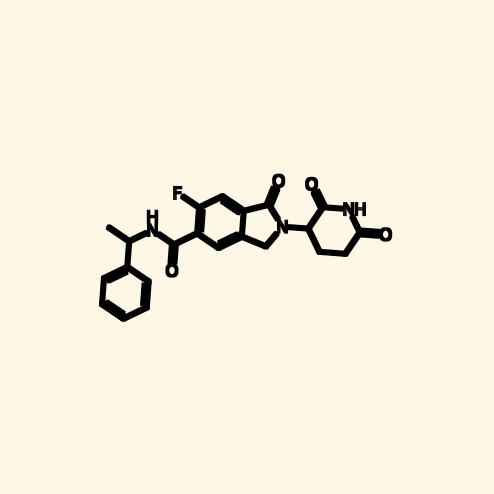 CC(NC(=O)c1cc2c(cc1F)C(=O)N(C1CCC(=O)NC1=O)C2)c1ccccc1